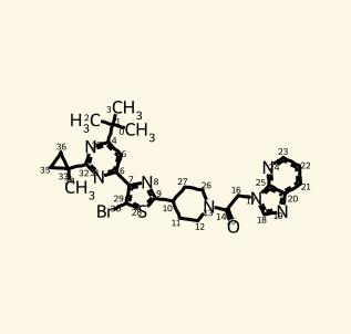 CC(C)(C)c1cc(-c2nc(C3CCN(C(=O)Cn4cnc5cccnc54)CC3)sc2Br)nc(C2(C)CC2)n1